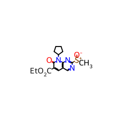 CCOC(=O)c1cc2cnc([S+](C)[O-])nc2n(C2CCCC2)c1=O